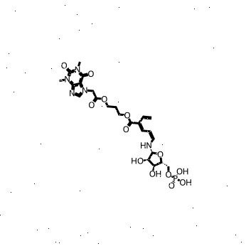 C=C/C(=C\C=C/N[C@@H]1O[C@H](COP(=O)(O)O)[C@@H](O)[C@H]1O)C(=O)OCCCOC(=O)Cn1cnc2c1c(=O)n(C)c(=O)n2C